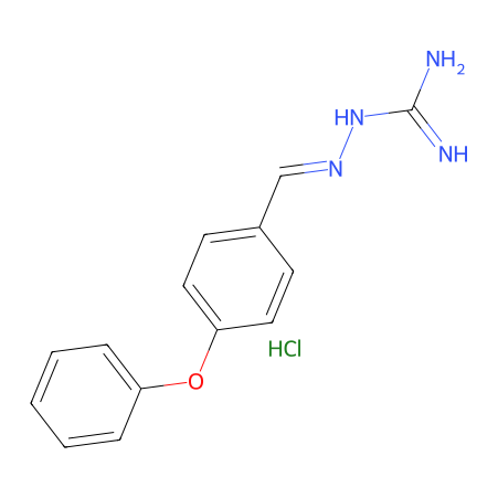 Cl.N=C(N)N/N=C/c1ccc(Oc2ccccc2)cc1